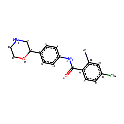 O=C(Nc1ccc(C2CNCCO2)cc1)c1ccc(Cl)cc1I